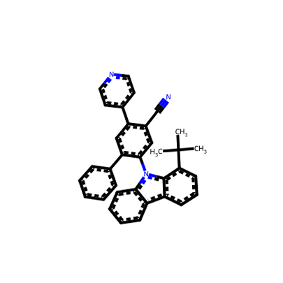 CC(C)(C)c1cccc2c3ccccc3n(-c3cc(C#N)c(-c4ccncc4)cc3-c3ccccc3)c12